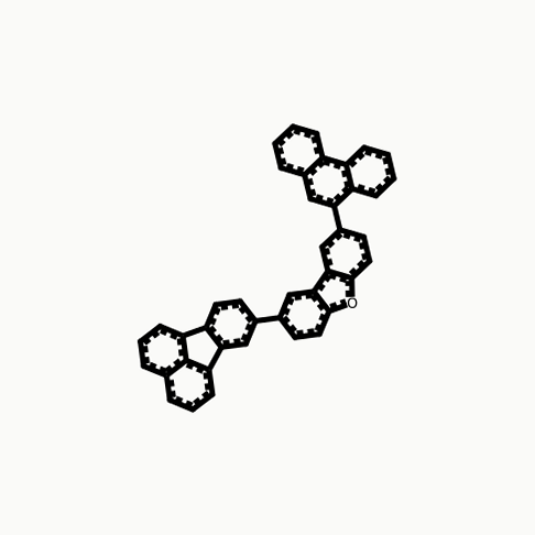 c1cc2c3c(cccc3c1)-c1cc(-c3ccc4oc5ccc(-c6cc7ccccc7c7ccccc67)cc5c4c3)ccc1-2